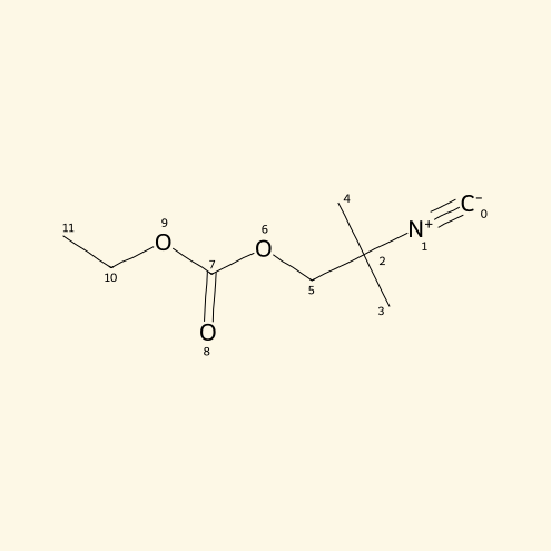 [C-]#[N+]C(C)(C)COC(=O)OCC